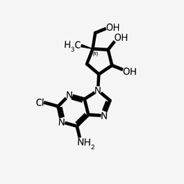 C[C@]1(CO)CC(n2cnc3c(N)nc(Cl)nc32)C(O)C1O